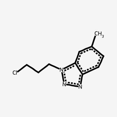 Cc1ccc2nnn(CCCCl)c2c1